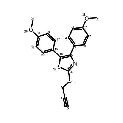 C#CCSc1nc(-c2ccc(OC)cc2)c(-c2ccc(OC)cc2)s1